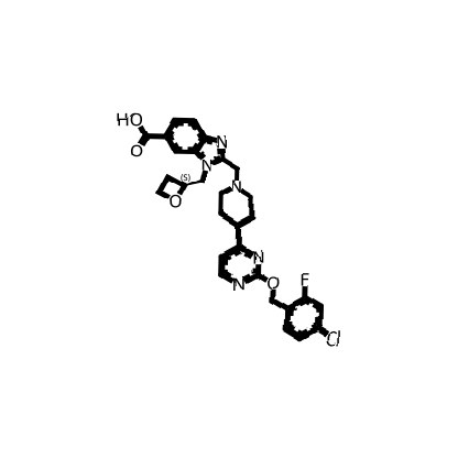 O=C(O)c1ccc2nc(CN3CCC(c4ccnc(OCc5ccc(Cl)cc5F)n4)CC3)n(C[C@@H]3CCO3)c2c1